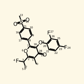 Cc1c(C(F)F)oc(-c2ccc(S(C)(=O)=O)cc2)c(Oc2ccc(F)cc2F)c1=O